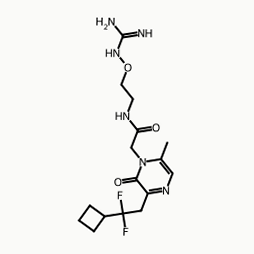 Cc1cnc(CC(F)(F)C2CCC2)c(=O)n1CC(=O)NCCONC(=N)N